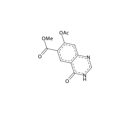 COC(=O)c1cc2c(=O)[nH]cnc2cc1OC(C)=O